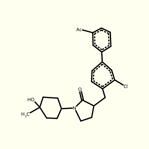 CC(=O)c1cccc(-c2ccc(CC3CCN(C4CCC(C)(O)CC4)C3=O)c(Cl)c2)c1